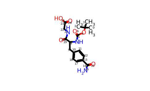 CC(C)(C)OC(=O)NC(Cc1ccc(C(N)=O)cc1)C(=O)NCC(=O)O